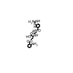 N=C(N)Nc1cccc(C(=O)NCC(=O)NC(CCOC(=O)c2ccccc2N)C(=O)O)c1